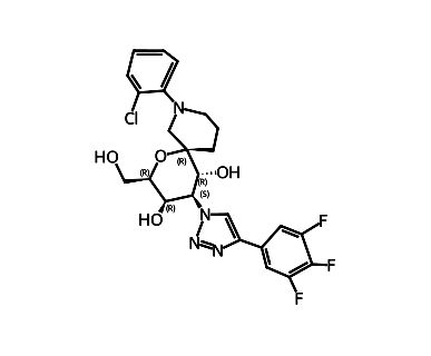 OC[C@H]1O[C@@]2(CCCN(c3ccccc3Cl)C2)[C@H](O)[C@@H](n2cc(-c3cc(F)c(F)c(F)c3)nn2)[C@H]1O